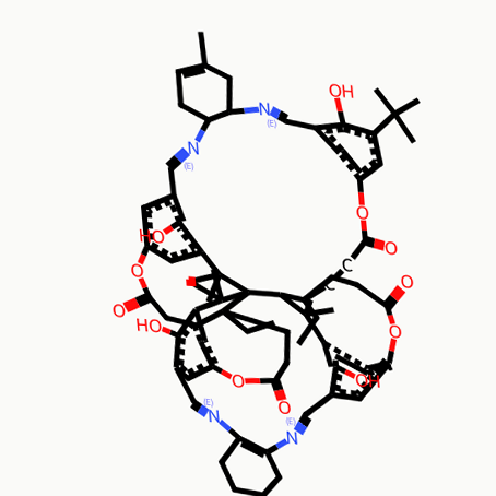 CCC12CCC(=O)Oc3cc(c(O)c(C(C)(C)C)c3)/C=N/C3CC(C)=CCC3/N=C/c3cc4cc(c3O)C(C)(C)C35C1C(C)(C)c1cc(cc(c1O)/C=N/C1=C(CCCC1)/N=C/c1cc(cc(c1O)C3(C)C)OC(=O)CCC5(CC)CCC(=O)O4)OC(=O)CC2